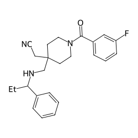 CCC(NCC1(CC#N)CCN(C(=O)c2cccc(F)c2)CC1)c1ccccc1